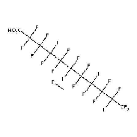 CF.O=C(O)C(F)(F)C(F)(F)C(F)(F)C(F)(F)C(F)(F)C(F)(F)C(F)(F)C(F)(F)C(F)(F)C(F)(F)F